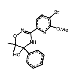 COc1nc(C2=NOC(C)(C)C(O)(c3ccccc3)N2)ccc1Br